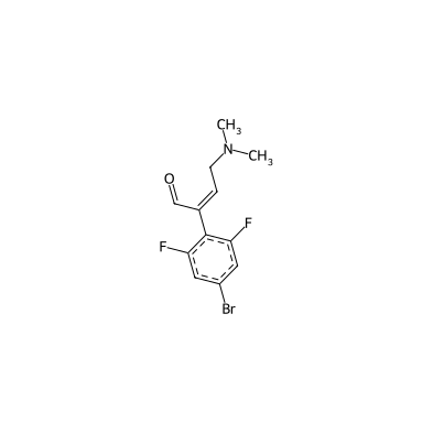 CN(C)CC=C(C=O)c1c(F)cc(Br)cc1F